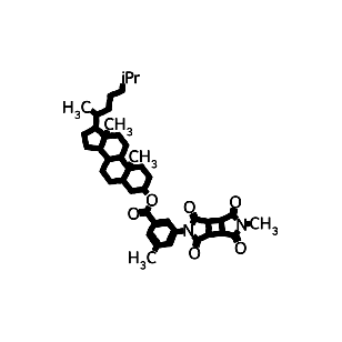 Cc1cc(C(=O)OC2CCC3(C)C(CCC4C3CCC3(C)C(C(C)CCCC(C)C)CCC43)C2)cc(N2C(=O)C3C4C(=O)N(C)C(=O)C4C3C2=O)c1